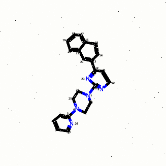 c1ccc(N2CCN(c3nccc(-c4ccc5ccccc5c4)n3)CC2)nc1